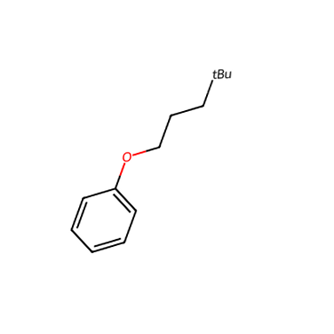 CC(C)(C)CCCOc1ccccc1